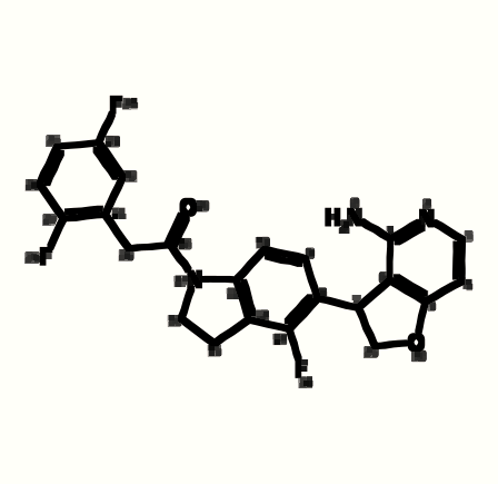 Nc1nccc2c1C(c1ccc3c(c1F)CCN3C(=O)Cc1cc(F)ccc1F)CO2